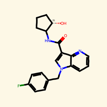 O=C(NC1CCC[C@@H]1O)c1cn(Cc2ccc(F)cc2)c2cccnc12